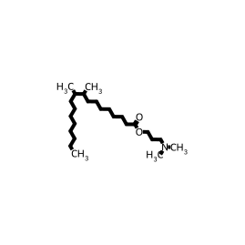 CCCCCCCCC(C)C(C)CCCCCCCC(=O)OCCCN(C)C